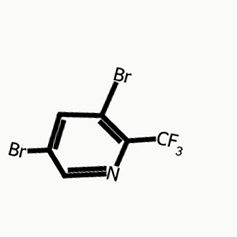 FC(F)(F)c1ncc(Br)cc1Br